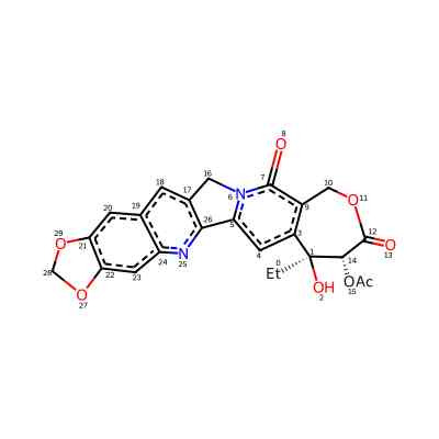 CC[C@]1(O)c2cc3n(c(=O)c2COC(=O)[C@@H]1OC(C)=O)Cc1cc2cc4c(cc2nc1-3)OCO4